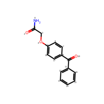 NC(=O)COc1ccc(C(=O)c2ccccc2)cc1